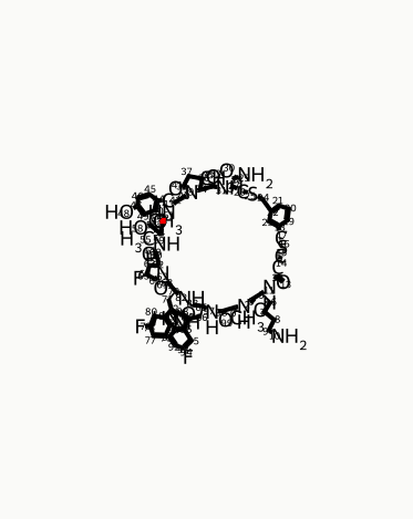 C[C@H]1NC(=O)[C@H](CCCCN)NC(=O)CCSCc2cccc(c2)CSC[C@@H](C(N)=O)NC(=O)[C@]2(C)CCCN2C(=O)[C@H](Cc2ccc(O)cc2)NC(=O)[C@](C)([C@@H](C)O)NC(=O)[C@@H]2C[C@H](F)CN2C(=O)[C@H](Cc2c[nH]c3ccc(F)cc23)NC(=O)[C@H](Cc2c[nH]c3ccc(F)cc23)NC1=O